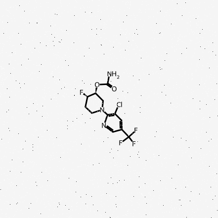 NC(=O)O[C@H]1CN(c2ncc(C(F)(F)F)cc2Cl)CC[C@H]1F